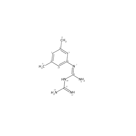 Cc1cc(C)cc(N=C(N)NC(=N)N)c1